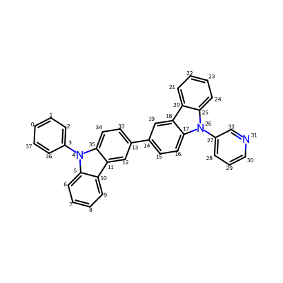 c1ccc(-n2c3ccccc3c3cc(-c4ccc5c(c4)c4ccccc4n5-c4cccnc4)ccc32)cc1